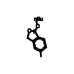 CCCCOB1OCc2cc(C)ccc21